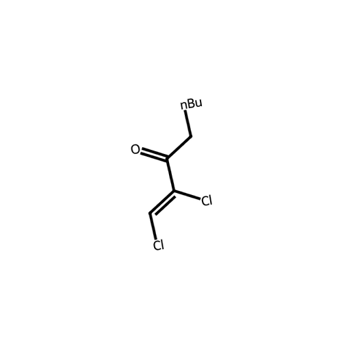 CCCCCC(=O)C(Cl)=CCl